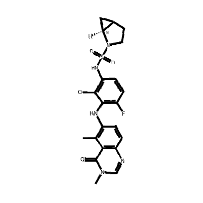 Cc1c(Nc2c(F)ccc(NS(=O)(=O)N3CCC4C[C@@H]43)c2Cl)ccc2ncn(C)c(=O)c12